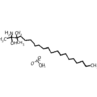 CCCCCCCCCCCCCCCCCC(C)(C)C(C)(N)O.O=[N+]([O-])O